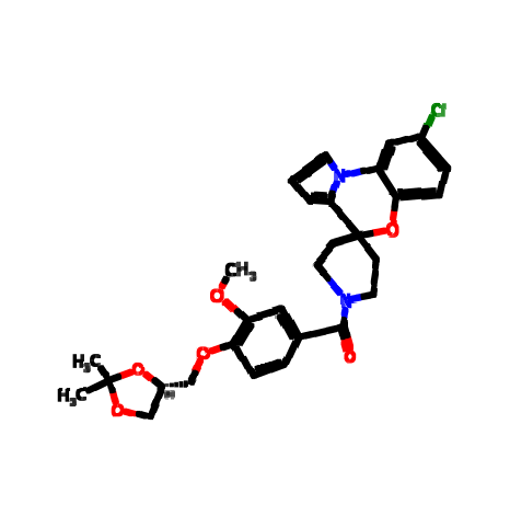 COc1cc(C(=O)N2CCC3(CC2)Oc2ccc(Cl)cc2-n2cccc23)ccc1OC[C@@H]1COC(C)(C)O1